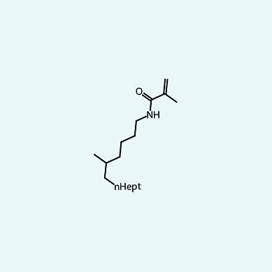 C=C(C)C(=O)NCCCCC(C)CCCCCCCC